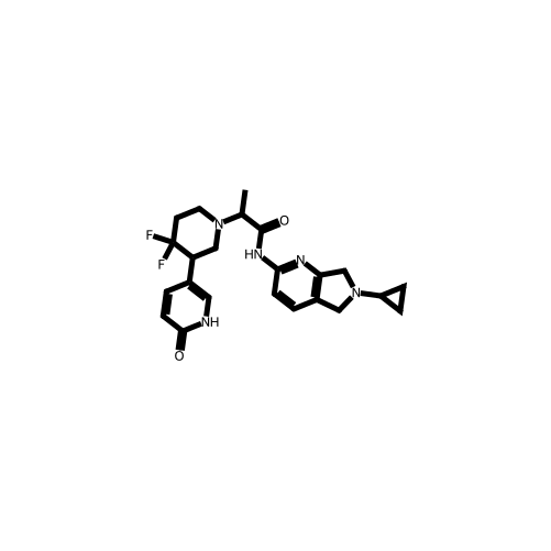 CC(C(=O)Nc1ccc2c(n1)CN(C1CC1)C2)N1CCC(F)(F)C(c2ccc(=O)[nH]c2)C1